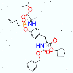 C=CCCP(=O)(N[C@@H](C)C(=O)OC(C)C)Oc1ccc(C[C@H](NC(=O)OCc2ccccc2)C(=O)OC2CCCC2)cc1